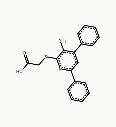 Nc1c(-c2ccccc2)cc(-c2ccccc2)nc1SCC(=O)O